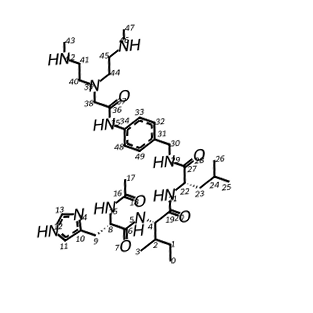 CCC(C)[C@H](NC(=O)[C@H](Cc1c[nH]cn1)NC(C)=O)C(=O)N[C@@H](CC(C)C)C(=O)NCc1ccc(NC(=O)CN(CCNC)CCNC)cc1